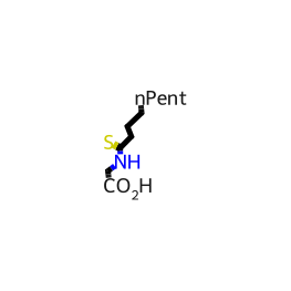 CCCCCCCCC(=S)NCC(=O)O